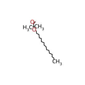 CCCCCCCCCCCCCCCCOC(C)(C)C1CO1